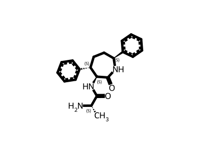 C[C@H](N)C(=O)N[C@@H]1C(=O)N[C@H](c2ccccc2)CC[C@H]1c1ccccc1